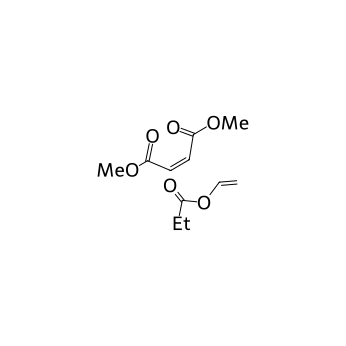 C=COC(=O)CC.COC(=O)/C=C\C(=O)OC